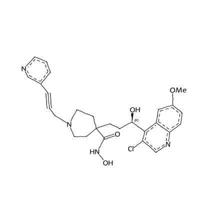 COc1ccc2ncc(Cl)c([C@H](O)CCC3(C(=O)NO)CCN(CC#Cc4cccnc4)CC3)c2c1